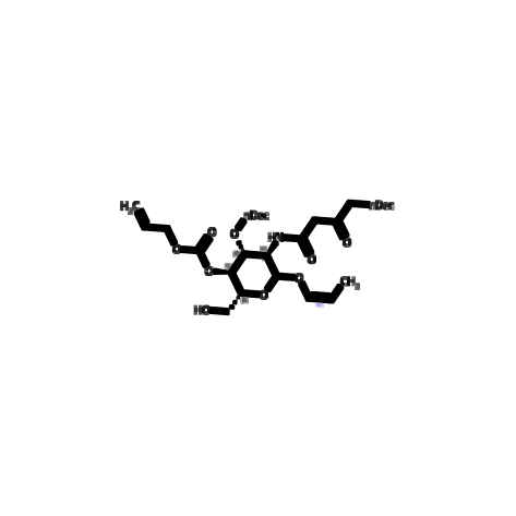 C=CCOC(=O)O[C@H]1[C@H](OCCCCCCCCCC)[C@@H](NC(=O)CC(=O)CCCCCCCCCCC)C(O/C=C\C)O[C@@H]1CO